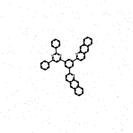 c1ccc(-c2cc(-c3cc(-c4ccc5cc6ccccc6cc5n4)cc(-c4ccc5cc6ccccc6cc5n4)c3)nc(-c3ccccc3)n2)cc1